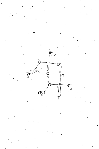 CCCCOP(=O)([O-])C(C)C.CCCCOP(=O)([O-])C(C)C.[Zn+2]